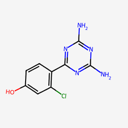 Nc1nc(N)nc(-c2ccc(O)cc2Cl)n1